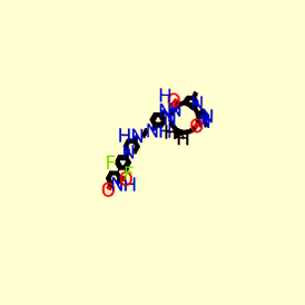 Cc1cc2cc(n1)-c1cnn(C)c1OCC[C@@H]1C[C@H]1CN1/C(=N/C2=O)Nc2ccc(NCCNC3CCN(c4cc(F)c([C@H]5CCC(=O)NC5=O)c(F)c4)CC3)cc21